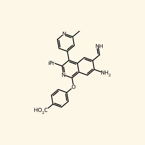 Cc1cc(-c2c(C(C)C)nc(Oc3ccc(C(=O)O)cc3)c3cc(N)c(C=N)cc23)ccn1